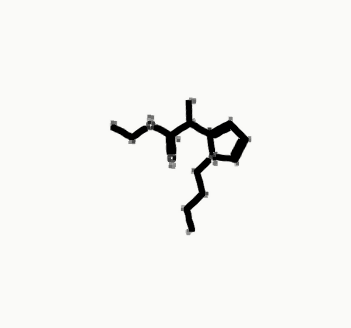 CCCCn1cccc1C(C)C(=O)OCC